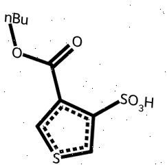 CCCCOC(=O)c1cscc1S(=O)(=O)O